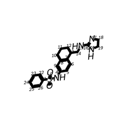 O=S(=O)(Nc1ccc2c(c1)CCCC2CNC1=NCCN1)c1ccccc1